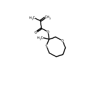 C=C(C)C(=O)OC1(C)COCCCCS1